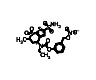 CCN(C(=O)Oc1cccc(CO[N+](=O)[O-])c1)[C@H]1CC(C)S(=O)(=O)c2sc(S(N)(=O)=O)cc21